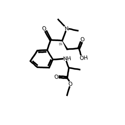 COC(=O)C(C)Nc1ccccc1C(=O)[C@H](CC(=O)O)N(C)C